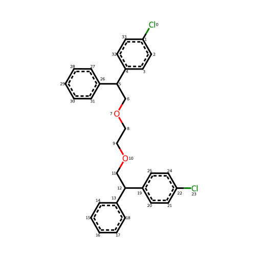 Clc1ccc(C(COCCOCC(c2ccccc2)c2ccc(Cl)cc2)c2ccccc2)cc1